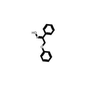 ON=C(COc1ccccc1)c1ccccc1